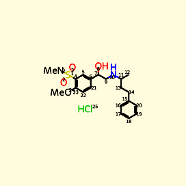 CNS(=O)(=O)c1cc(C(O)CNC(C)CCc2ccccc2)ccc1OC.Cl